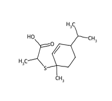 CC(SC1(C)C=CC(C(C)C)CC1)C(=O)O